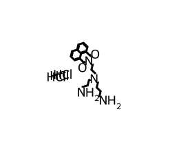 Cl.Cl.Cl.NCCCCN(CCCN)CCCN1C(=O)c2cccc3cccc(c23)C1=O